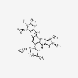 Cc1nc(Nc2ncc(N3CCN[C@H](C)C3)c(Nc3cc(C)n(C)n3)n2)cc(C2CC2)c1F.Cl.Cl